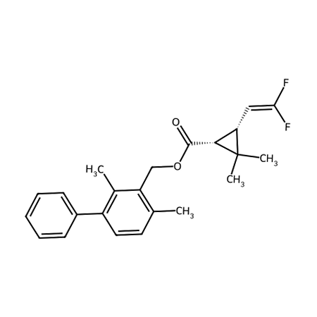 Cc1ccc(-c2ccccc2)c(C)c1COC(=O)[C@@H]1[C@H](C=C(F)F)C1(C)C